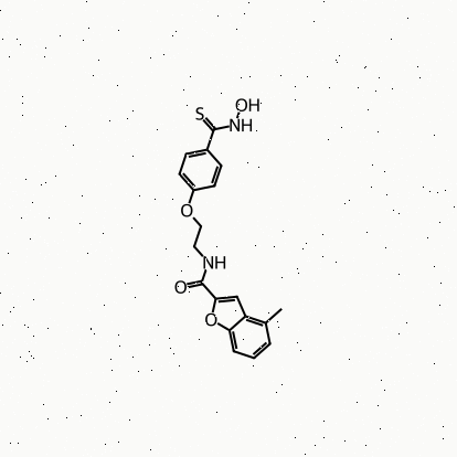 Cc1cccc2oc(C(=O)NCCOc3ccc(C(=S)NO)cc3)cc12